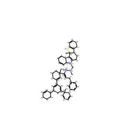 CN(CN1C2=C(C3CCC=CC31)C1(C)SC3=C(CCC=C3)C1CC2)N/C(=C\Cc1ccccc1)C1(C)C=C(C2=CC(C3C=CCCC3)CC(C3(C)C=CC=CC3)=C2)CCC1